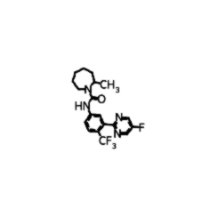 CC1CCCCCN1C(=O)Nc1ccc(C(F)(F)F)c(-c2ncc(F)cn2)c1